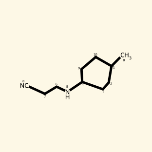 CC1CCC(NCCC#N)CC1